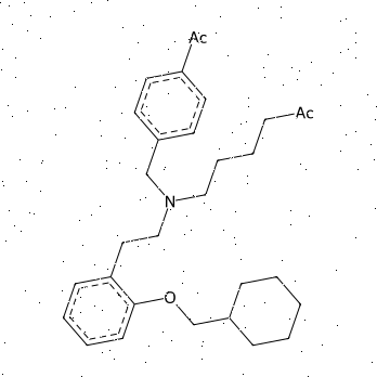 CC(=O)CCCCN(CCc1ccccc1OCC1CCCCC1)Cc1ccc(C(C)=O)cc1